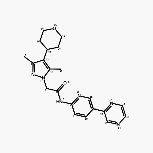 Cc1nn(CC(=O)Nc2ccc(-c3cnccn3)cn2)c(C)c1C1CCOCC1